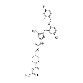 C=C(C)OC(=O)N1CCC(COC(=O)Nc2cc(C)n(Cc3cc(Cl)ccc3OCc3ccc(F)cc3F)n2)CC1